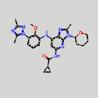 COc1c(Nc2cc(NC(=O)C3CC3)nc3c2nc(C)n3C2CCCCO2)cccc1-n1nc(C)nc1C